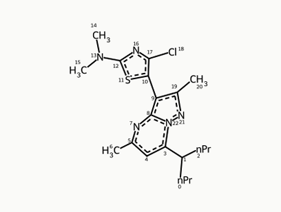 CCCC(CCC)c1cc(C)nc2c(-c3sc(N(C)C)nc3Cl)c(C)nn12